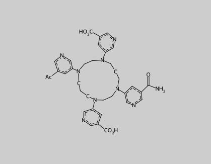 CC(=O)c1cncc(N2CCCN(c3cncc(C(=O)O)c3)CCN(c3cncc(C(N)=O)c3)CCCN(c3cncc(C(=O)O)c3)CC2)c1